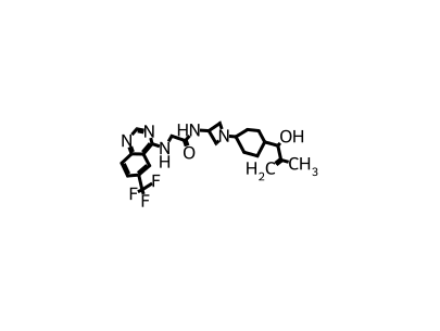 C=C(C)C(O)C1CCC(N2CC(NC(=O)CNc3ncnc4ccc(C(F)(F)F)cc34)C2)CC1